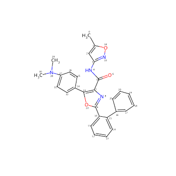 Cc1cc(NC(=O)c2nc(-c3ccccc3-c3ccccc3)oc2-c2ccc(N(C)C)cc2)no1